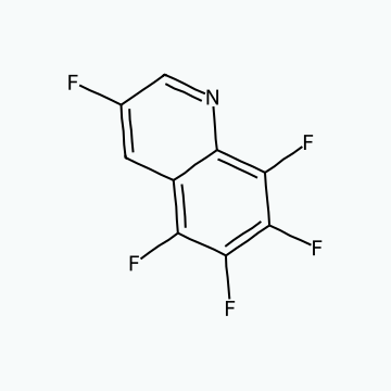 Fc1cnc2c(F)c(F)c(F)c(F)c2c1